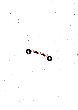 C1=C(OCCCOCCCOC2=CCCCC2)CCCC1